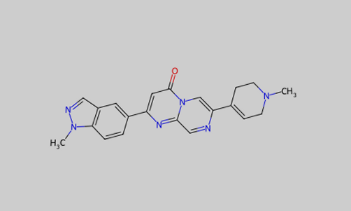 CN1CC=C(c2cn3c(=O)cc(-c4ccc5c(cnn5C)c4)nc3cn2)CC1